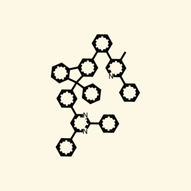 Cc1cc(-c2ccccc2)ncc1-c1ccccc1-c1ccc2c(c1)-c1ccccc1C2(c1ccccc1)c1cccc(-c2cc(-c3ccccc3)nc(-c3ccccc3)n2)c1